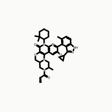 C=CC(=O)N1CC2COc3c(c4cc(Cl)c(-c5c(C)ccc6[nH]nc(C7CC7)c56)nc4n(C4CCCCC4(C)C)c3=O)N2CC1C